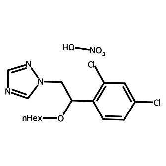 CCCCCCOC(Cn1cncn1)c1ccc(Cl)cc1Cl.O=[N+]([O-])O